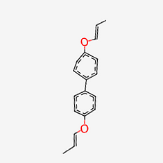 CC=COc1ccc(-c2ccc(OC=CC)cc2)cc1